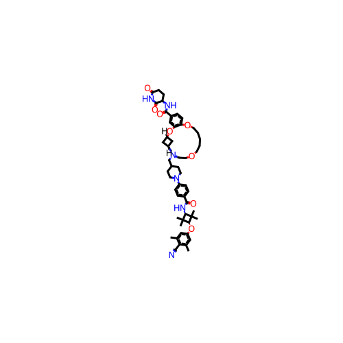 Cc1cc(O[C@H]2C(C)(C)[C@H](NC(=O)c3ccc(N4CCC(CN5CCOCCCCCOc6ccc(C(=O)NC7CCC(=O)NC7=O)cc6O[C@H]6C[C@H]5C6)CC4)cc3)C2(C)C)cc(C)c1C#N